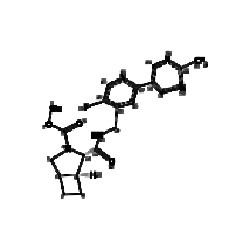 CC(C)(C)OC(=O)N1CC2CC[C@@H]2[C@H]1C(=O)NCc1cc(-c2cnc(C(F)(F)F)nc2)ncc1F